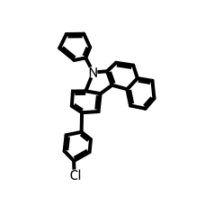 Clc1ccc(-c2ccc3c(c2)c2c4ccccc4ccc2n3-c2ccccc2)cc1